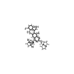 CCc1c(F)ccc2[nH]cc(-c3c(F)cc4c(N5C[C@H]6CC[C@@H](C5)N6)nc(OCC56CCCN5CCC6)nc4c3F)c12